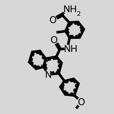 COc1ccc(-c2cc(C(=O)Nc3cccc(C(N)=O)c3C)c3ccccc3n2)cc1